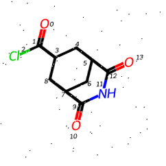 O=C(Cl)C1CC2CC(C1)C(=O)NC2=O